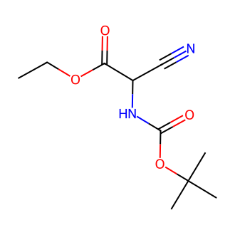 CCOC(=O)C(C#N)NC(=O)OC(C)(C)C